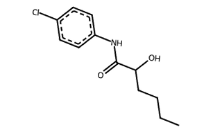 CCCCC(O)C(=O)Nc1ccc(Cl)cc1